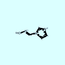 ON=Cn1ccnc1